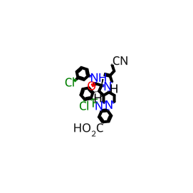 C=C(CCC#N)CN1[C@H]2CCn3c(nc4cc(C(=O)O)ccc43)[C@H]2[C@H](c2cccc(Cl)c2F)[C@]1(C)C(=O)Nc1cccc(Cl)c1